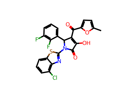 Cc1ccc(C(=O)C2=C(O)C(=O)N(c3nc4c(Cl)cccc4s3)C2c2cccc(F)c2F)o1